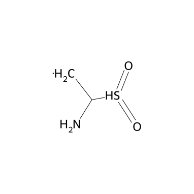 [CH2]C(N)[SH](=O)=O